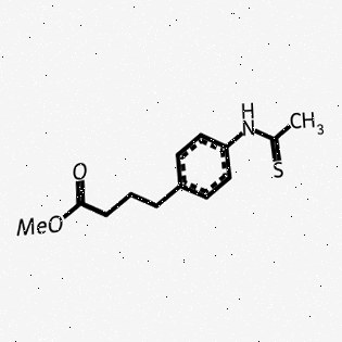 COC(=O)CCCc1ccc(NC(C)=S)cc1